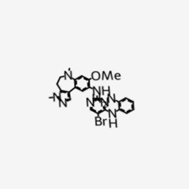 COc1cc2c(cc1Nc1ncc(Br)c(Nc3ccccc3N)n1)-c1cnn(C)c1CCN2C